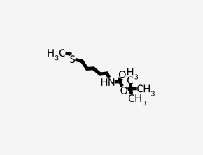 CCSCCCCCNC(=O)OC(C)(C)C